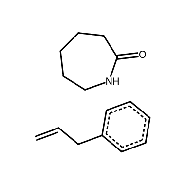 C=CCc1ccccc1.O=C1CCCCCN1